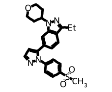 CCc1nn(C2CCOCC2)c2cc(-c3ccnn3-c3ccc(S(C)(=O)=O)cc3)ccc12